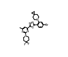 Cc1cc(-c2nnc(-c3ccc(Br)cc3N3CCC4(CC3)CC4)s2)nc(N2CCC(F)(F)CC2)n1